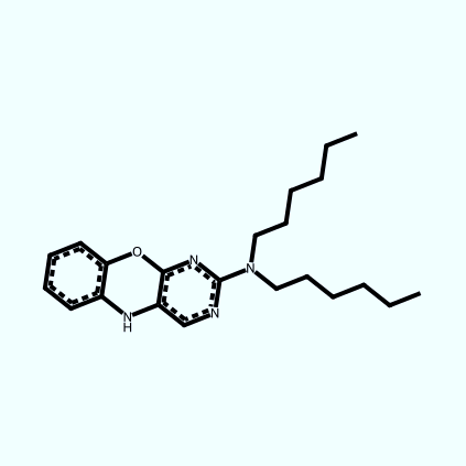 CCCCCCN(CCCCCC)c1ncc2c(n1)Oc1ccccc1N2